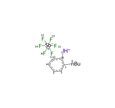 CCCCc1ccccc1[IH+].[F][Sb-]([F])([F])([F])([F])[F]